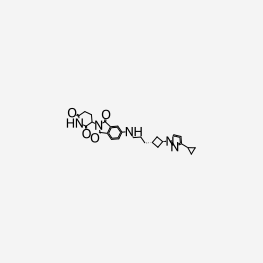 O=C1CCC(N2C(=O)c3ccc(NCCC[C@H]4C[C@H](n5ccc(C6CC6)n5)C4)cc3C2=O)C(=O)N1